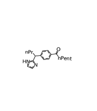 CCCCCC(=O)c1ccc(C(CCC)c2ncc[nH]2)cc1